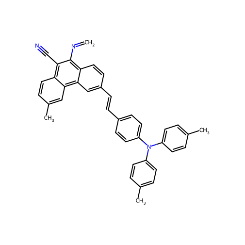 C=Nc1c(C#N)c2ccc(C)cc2c2cc(C=Cc3ccc(N(c4ccc(C)cc4)c4ccc(C)cc4)cc3)ccc12